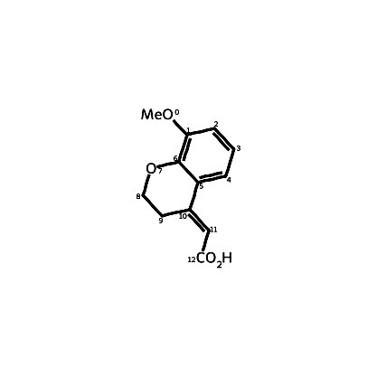 COc1cccc2c1OCCC2=CC(=O)O